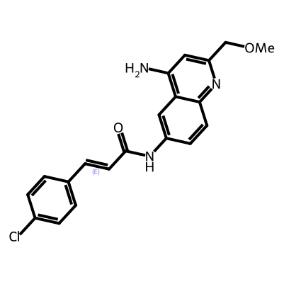 COCc1cc(N)c2cc(NC(=O)/C=C/c3ccc(Cl)cc3)ccc2n1